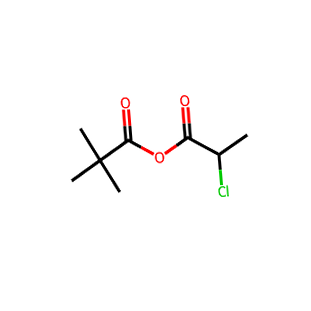 CC(Cl)C(=O)OC(=O)C(C)(C)C